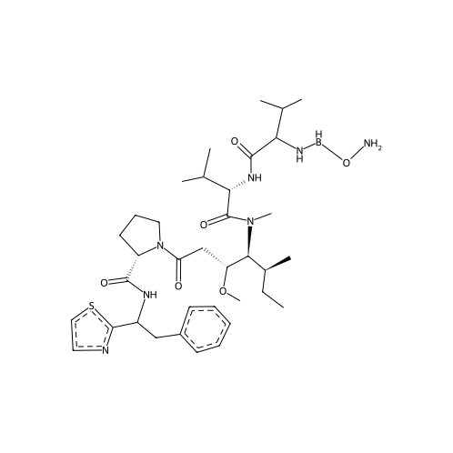 CC[C@H](C)[C@@H]([C@@H](CC(=O)N1CCC[C@H]1C(=O)NC(Cc1ccccc1)c1nccs1)OC)N(C)C(=O)[C@@H](NC(=O)C(NBON)C(C)C)C(C)C